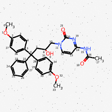 COc1ccc(C(C[C@H](O)Cn2ccc(NC(C)=O)nc2=O)(c2ccccc2)c2ccc(OC)cc2)cc1